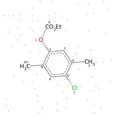 CCOC(=O)Oc1cc(C)c(Cl)cc1C